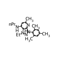 CCCNc1cc(C)nc2c1N(CC)NN2c1c(C)cc(C)cc1C